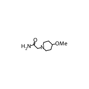 COC1CCN(CC(N)=O)CC1